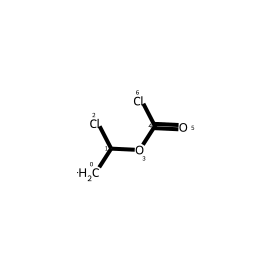 [CH2]C(Cl)OC(=O)Cl